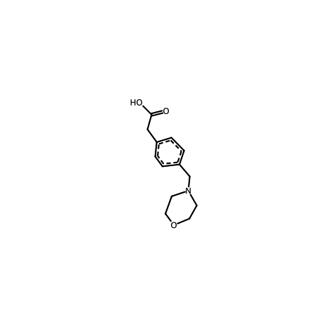 O=C(O)Cc1ccc(CN2CCOCC2)cc1